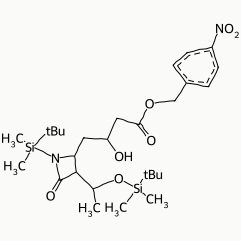 CC(O[Si](C)(C)C(C)(C)C)C1C(=O)N([Si](C)(C)C(C)(C)C)C1CC(O)CC(=O)OCc1ccc([N+](=O)[O-])cc1